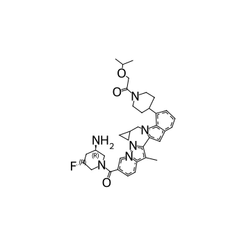 Cc1c(-c2cc3cccc(C4CCN(C(=O)COC(C)C)CC4)c3n2CC2CC2)nn2cc(C(=O)N3C[C@H](N)C[C@@H](F)C3)ccc12